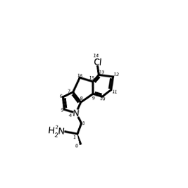 C[C@@H](N)Cn1ccc2c1-c1cccc(Cl)c1C2